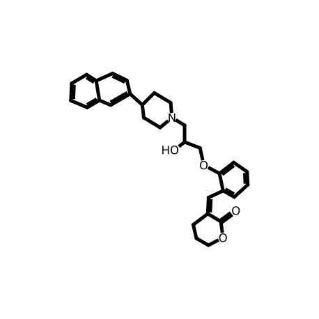 O=C1OCCCC1=Cc1ccccc1OCC(O)CN1CCC(c2ccc3ccccc3c2)CC1